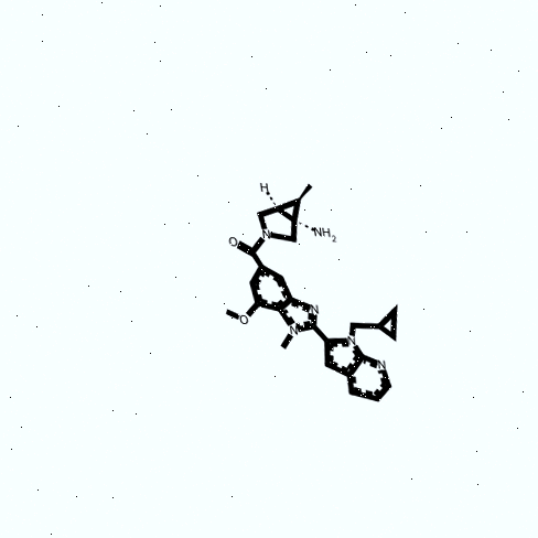 COc1cc(C(=O)N2C[C@H]3[C@@H](C)[C@@]3(N)C2)cc2nc(-c3cc4cccnc4n3CC3CC3)n(C)c12